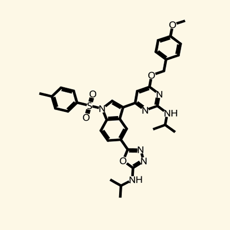 COc1ccc(COc2cc(-c3cn(S(=O)(=O)c4ccc(C)cc4)c4ccc(-c5nnc(NC(C)C)o5)cc34)nc(NC(C)C)n2)cc1